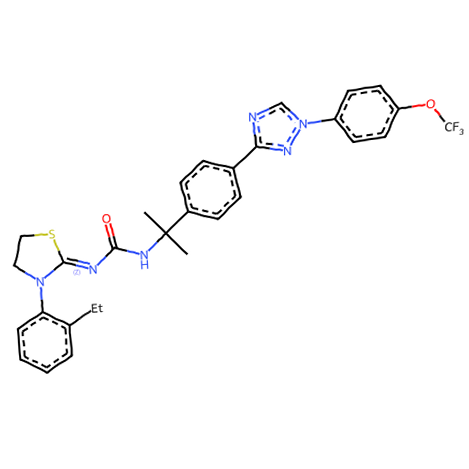 CCc1ccccc1N1CCS/C1=N\C(=O)NC(C)(C)c1ccc(-c2ncn(-c3ccc(OC(F)(F)F)cc3)n2)cc1